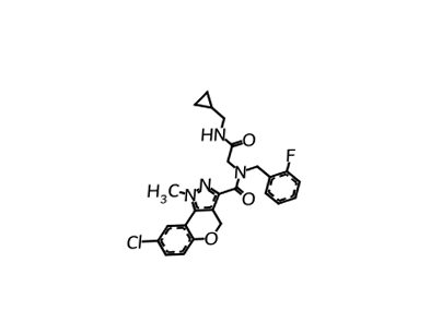 Cn1nc(C(=O)N(CC(=O)NCC2CC2)Cc2ccccc2F)c2c1-c1cc(Cl)ccc1OC2